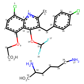 CCc1nc2c(Cl)ccc(OCC(=O)O)c2c(OC(F)F)c1Cc1ccc(Cl)cc1.NCCCCC(N)C(=O)O